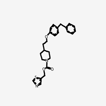 O=C(OCc1cncs1)N1CCC(CCOc2ccc(Cc3ccccc3)cc2)CC1